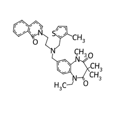 CCN1C(=O)C(C)(C)C(=O)N(C)c2cc(CN(CCn3ccc4ccccc4c3=O)Cc3sccc3C)ccc21